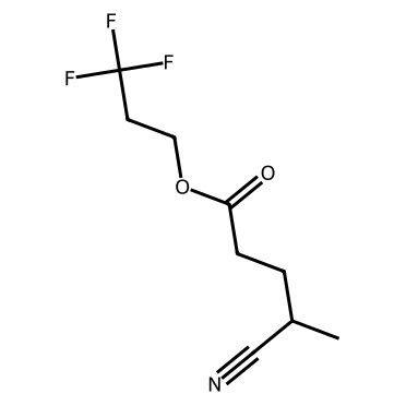 CC(C#N)CCC(=O)OCCC(F)(F)F